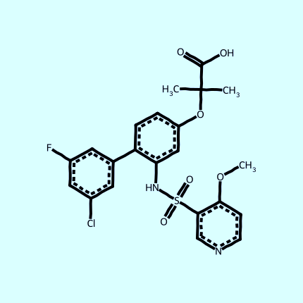 COc1ccncc1S(=O)(=O)Nc1cc(OC(C)(C)C(=O)O)ccc1-c1cc(F)cc(Cl)c1